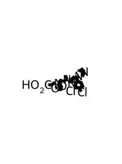 CN(CCN(CCC(=O)O)S(C)(=O)=O)c1cc(-n2ccnc2)c2ccc(Cl)c(Cl)c2n1